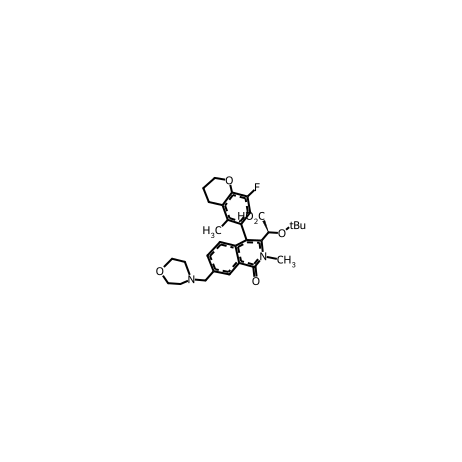 Cc1c(-c2c([C@H](OC(C)(C)C)C(=O)O)n(C)c(=O)c3cc(CN4CCOCC4)ccc23)cc(F)c2c1CCCO2